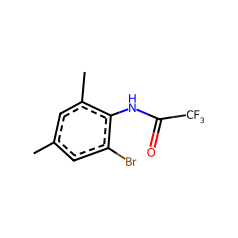 Cc1cc(C)c(NC(=O)C(F)(F)F)c(Br)c1